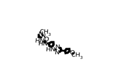 COc1ccc(-c2cnc(Nc3cccc(NC(=O)Nc4ccn(C)n4)c3)nc2)cc1